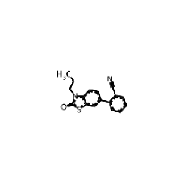 CCCn1c(=O)sc2cc(-c3ccccc3C#N)ccc21